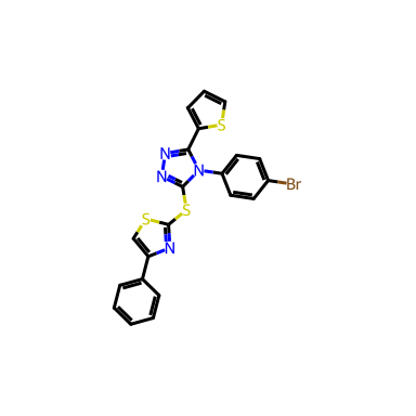 Brc1ccc(-n2c(Sc3nc(-c4ccccc4)cs3)nnc2-c2cccs2)cc1